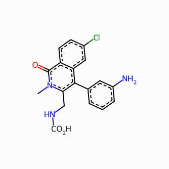 Cn1c(CNC(=O)O)c(-c2cccc(N)c2)c2cc(Cl)ccc2c1=O